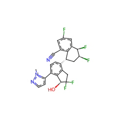 Cn1nccc1-c1ccc([C@H]2C[C@H](F)[C@H](F)c3cc(F)cc(C#N)c32)c2c1[C@H](O)C(F)(F)C2